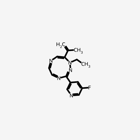 C=C(C)c1cnccnc(-c2cncc(F)c2)nn1CC